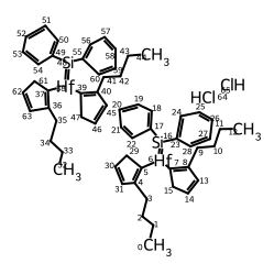 CCCCC1=[C]([Hf]([C]2=C(CCCC)C=CC2)=[Si](c2ccccc2)c2ccccc2)CC=C1.CCCCC1=[C]([Hf]([C]2=C(CCCC)C=CC2)=[Si](c2ccccc2)c2ccccc2)CC=C1.Cl.Cl